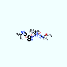 COCCN(C)CCNC(=O)c1nc(NC(=O)N[C@H]2CC[C@@H](Oc3ccc4nnc(C(C)C)n4c3)c3ccccc32)cc(C(C)(C)C)n1